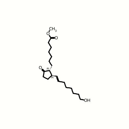 COC(=O)CCCCCC[C@H]1C(=O)CC[C@@H]1C=CCCCCCCO